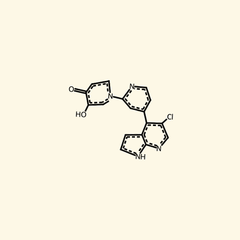 O=c1ccn(-c2cc(-c3c(Cl)cnc4[nH]ccc34)ccn2)cc1O